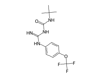 CC(C)(C)NC(=O)NC(=N)Nc1ccc(OC(F)(F)F)cc1